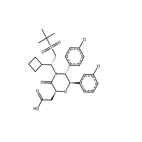 CC(C)(C)S(=O)(=O)C[C@@H](C1CCC1)N1C(=O)[C@H](CC(=O)O)O[C@H](c2cccc(Cl)c2)[C@H]1c1ccc(Cl)cc1